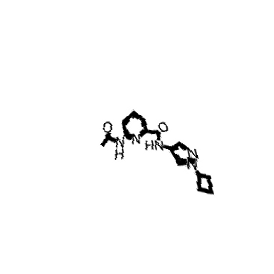 CC(=O)Nc1cccc(C(=O)Nc2cnn(C3CCC3)c2)n1